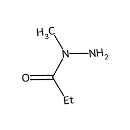 [CH2]CC(=O)N(C)N